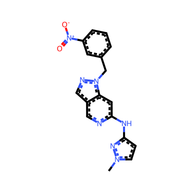 Cn1ccc(Nc2cc3c(cn2)cnn3Cc2cccc([N+](=O)[O-])c2)n1